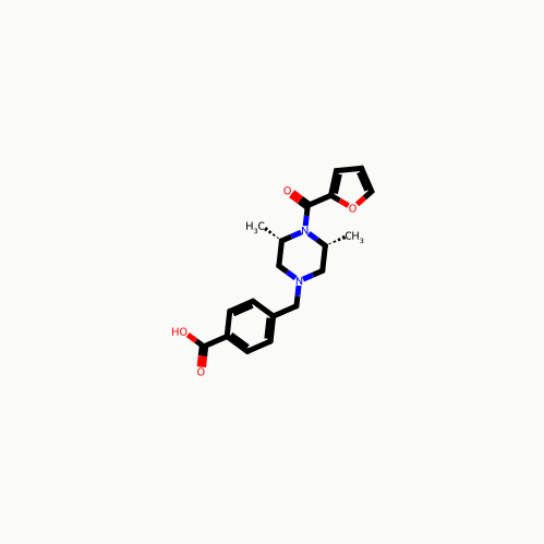 C[C@@H]1CN(Cc2ccc(C(=O)O)cc2)C[C@H](C)N1C(=O)c1ccco1